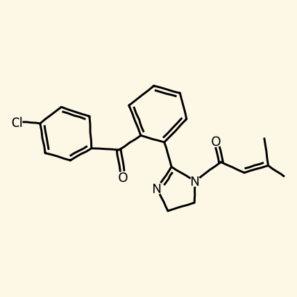 CC(C)=CC(=O)N1CCN=C1c1ccccc1C(=O)c1ccc(Cl)cc1